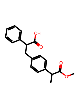 COC(=O)C(C)c1ccc(CC(C(=O)O)c2ccccc2)cc1